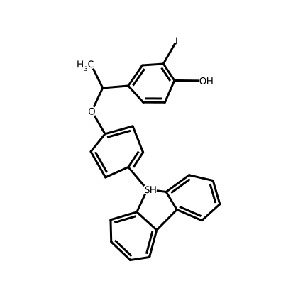 CC(Oc1ccc([SH]2c3ccccc3-c3ccccc32)cc1)c1ccc(O)c(I)c1